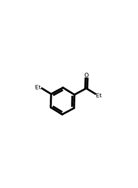 CCC(=O)c1cccc(CC)c1